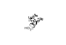 CC(C)(C)OC(=O)CN(CC(=O)O)C(=O)ONC(=O)OC(C)(C)C